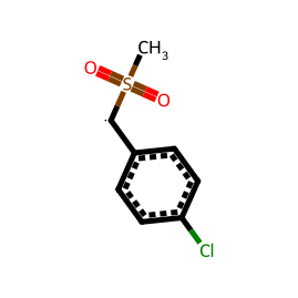 CS(=O)(=O)[CH]c1ccc(Cl)cc1